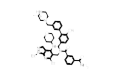 CCc1nc2c(cnn2CC)c(NC2CCOCC2)c1CN(Cc1ccc(C#N)c(-c2cccc(CN3CCN[C@@H](C)C3)c2)c1)C(=O)c1cccc(C(N)=O)c1